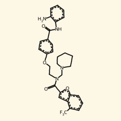 Nc1ccccc1NC(=O)c1ccc(OCCN(CN2CCCCC2)C(=O)c2cc3c(C(F)(F)F)cccc3o2)cc1